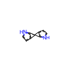 c1cc2c([nH]1)C21c2cc[nH]c21